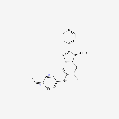 C=C(/C=C\C(=C/C)C(C)C)NC(=O)C(C)Sc1nnc(-c2ccncc2)n1C=O